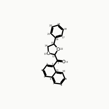 O=C(c1cccc2ccccc12)C1OCC(c2ccccc2)O1